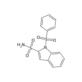 NS(=O)(=O)c1cc2ccccc2n1S(=O)(=O)c1ccccc1